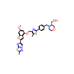 COc1cc(OCc2nc(-c3ccc(CN4CCOC[C@@H]4CO)cc3)sc2C)c2cc(-c3cn4nc(C)sc4n3)oc2c1